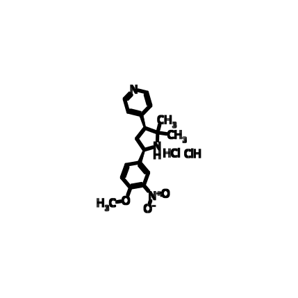 COc1ccc([C@H]2C[C@@H](c3ccncc3)C(C)(C)N2)cc1[N+](=O)[O-].Cl.Cl